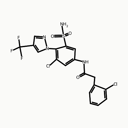 NS(=O)(=O)c1cc(NC(=O)Cc2ccccc2Cl)cc(Cl)c1-n1cc(C(F)(F)F)cn1